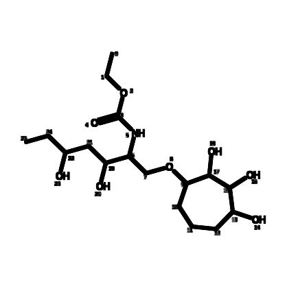 CCOC(=O)NC(COC1CCCC(O)C(O)C1O)C(O)CC(O)CC